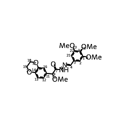 COc1cc(C=NNC(=O)C(OC)c2ccc3c(c2)OCCO3)cc(OC)c1OC